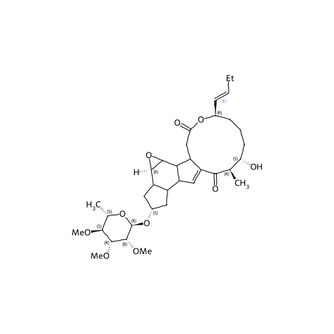 CC/C=C/[C@H]1CCC[C@H](O)[C@@H](C)C(=O)C2=CC3C4C[C@H](O[C@@H]5O[C@@H](C)[C@H](OC)[C@@H](OC)[C@H]5OC)CC4[C@H]4OC4C3C2CC(=O)O1